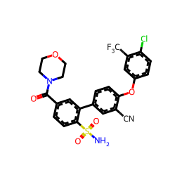 N#Cc1cc(-c2cc(C(=O)N3CCOCC3)ccc2S(N)(=O)=O)ccc1Oc1ccc(Cl)c(C(F)(F)F)c1